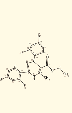 CCOC(=O)C1=C(C)NC(c2ncc(F)cc2F)=NC1c1ccc(Br)cc1F